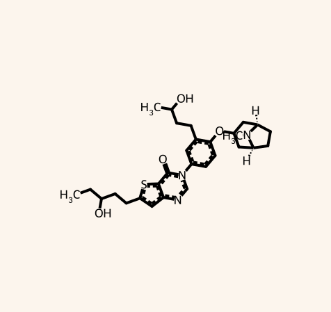 CCC(O)CCc1cc2ncn(-c3ccc(OC4C[C@H]5CC[C@@H](C4)N5C)c(CCC(C)O)c3)c(=O)c2s1